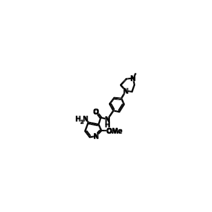 COc1nccc(N)c1C(=O)Nc1ccc(N2CCN(C)CC2)cc1